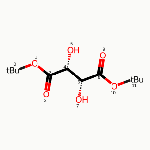 CC(C)(C)OC(=O)[C@H](O)[C@@H](O)C(=O)OC(C)(C)C